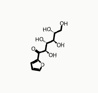 O=C(c1ccco1)[C@H](O)[C@H](O)[C@H](O)[C@H](O)CO